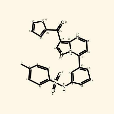 Cc1ccc(S(=O)(=O)Nc2cccc(-c3ccnc4c(C(=O)c5cccs5)cnn34)c2)cc1